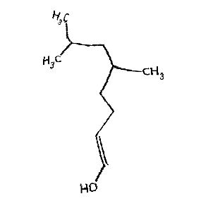 CC(C)CC(C)CCC=CO